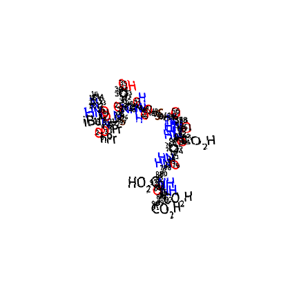 CCCC(=O)OCN(C(=O)[C@@H](NC(=O)[C@H]1CCCCN1C)C(C)CC)[C@H](CCc1nc(C(=O)N[C@@H](Cc2ccc(O)cc2)C[C@H](C)C(=O)NNC(=O)OCCSSCCNC(=O)[C@H](C)NC(=O)[C@H](CC(=O)O)NC(=O)Cc2ccc(CNC(=O)NCCCC[C@H](NC(=O)N[C@@H](CCCC(=O)O)C(=O)O)C(=O)O)cc2)cs1)C(C)C